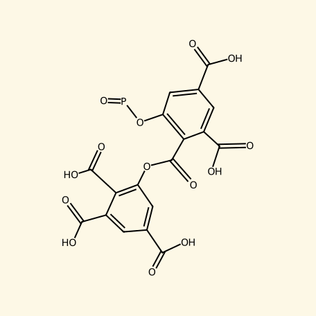 O=POc1cc(C(=O)O)cc(C(=O)O)c1C(=O)Oc1cc(C(=O)O)cc(C(=O)O)c1C(=O)O